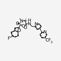 C[C@H](C(=O)NCc1cc(-c2ccc(C(F)(F)F)cn2)ccn1)N(C)S(=O)(=O)c1cc2cc(F)ccc2o1